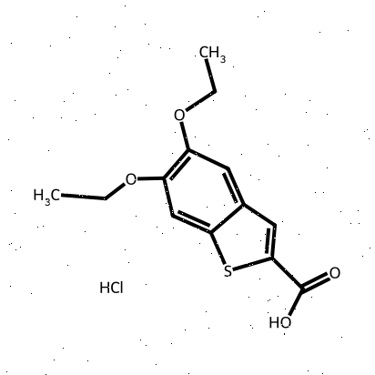 CCOc1cc2cc(C(=O)O)sc2cc1OCC.Cl